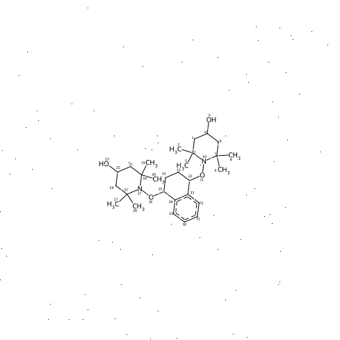 CC1(C)CC(O)CC(C)(C)N1OC1CCC(ON2C(C)(C)CC(O)CC2(C)C)c2ccccc21